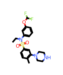 CCN(c1cccc(OC(F)F)c1)S(=O)(=O)c1ccc(C)c(N2CCNCC2)c1